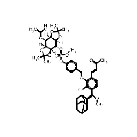 COC(=C1C2CC3CC(C2)CC1C3)c1ccc(/C=C/C(C)=O)c(OCc2ccc(OP(=O)(OC)O[C@@H]3[C@@H]4OC(C)(C)O[C@@H]4[C@@H](OC(C)C)[C@@H]4OC(C)(C)O[C@H]43)cc2)c1Cl